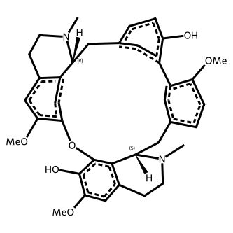 COc1cc2c3cc1Oc1c(O)c(OC)cc4c1[C@H](Cc1ccc(OC)c(c1)-c1cc(ccc1O)C[C@H]3N(C)CC2)N(C)CC4